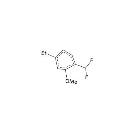 CCc1ccc(C(F)F)c(OC)c1